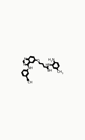 B=C(CCCOc1ccc2ncnc(Nc3cccc(C#C)c3)c2c1)Nc1cc(C)ccc1N